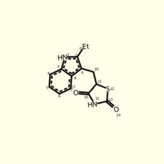 CCc1[nH]c2ccccc2c1CC1SC(=O)NC1=O